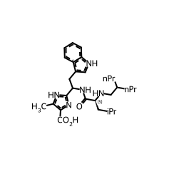 CCCC(CCC)CN[C@@H](CC(C)C)C(=O)NC(Cc1c[nH]c2ccccc12)c1nc(C(=O)O)c(C)[nH]1